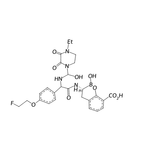 CCN1CCN(C(O)NC(C(=O)N[C@H]2Cc3cccc(C(=O)O)c3OB2O)c2ccc(OCCF)cc2)C(=O)C1=O